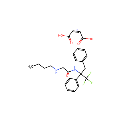 CCCCNCC(=O)NC(Cc1ccccc1)(c1ccccc1)C(F)(F)F.O=C(O)/C=C\C(=O)O